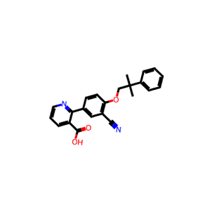 CC(C)(COc1ccc(-c2ncccc2C(=O)O)cc1C#N)c1ccccc1